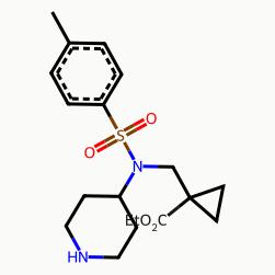 CCOC(=O)C1(CN(C2CCNCC2)S(=O)(=O)c2ccc(C)cc2)CC1